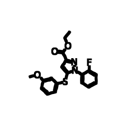 CCOC(=O)c1cc(Sc2cccc(OC)c2)n(-c2ccccc2F)n1